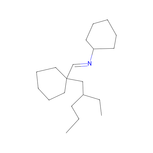 CCCC(CC)CC1(/C=N/C2CCCCC2)CCCCC1